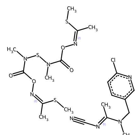 C/C(=N\C#N)N(C)Cc1ccc(Cl)nc1.CS/C(C)=N\OC(=O)N(C)SN(C)C(=O)O/N=C(/C)SC